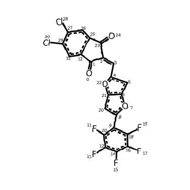 O=C1C(=Cc2cc3oc(-c4c(F)c(F)c(F)c(F)c4F)cc3o2)C(=O)c2cc(Cl)c(Cl)cc21